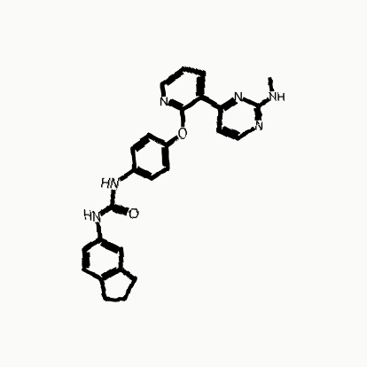 CNc1nccc(-c2cccnc2Oc2ccc(NC(=O)Nc3ccc4c(c3)CCC4)cc2)n1